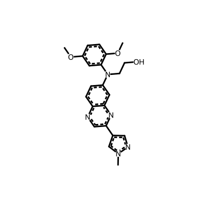 COc1ccc(OC)c(N(CCO)c2ccc3ncc(-c4cnn(C)c4)nc3c2)c1